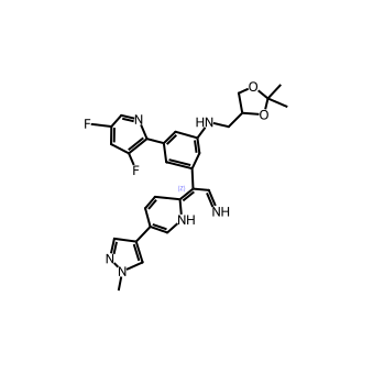 Cn1cc(C2=CN/C(=C(\C=N)c3cc(NCC4COC(C)(C)O4)cc(-c4ncc(F)cc4F)c3)C=C2)cn1